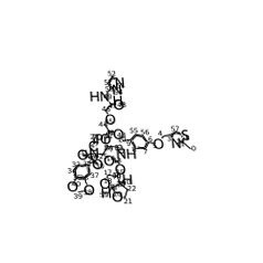 Cc1nc(COc2ccc(C[C@H](NC(=O)O[C@H]3CO[C@H]4OCC[C@H]43)[C@@H](CN(CC(C)C)S(=O)(=O)c3ccc4c(c3)OCO4)OC(=O)COCC(=O)Nc3ccn[nH]3)cc2)cs1